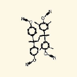 Cc1cc(C(C)(CCC(C)(c2ccc(OC#N)cc2)c2ccc(OC#N)cc2)c2cc(C)c(OC#N)c(C)c2)cc(C)c1OC#N